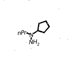 CCCN(N)C1CCCC1